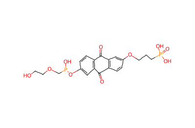 O=C1c2ccc(OP(O)COCCO)cc2C(=O)c2ccc(OCCCP(=O)(O)O)cc21